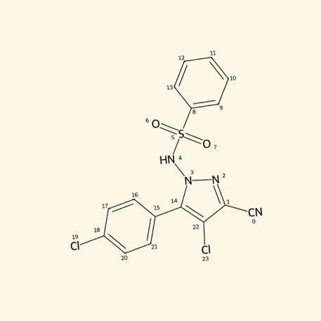 N#Cc1nn(NS(=O)(=O)c2ccccc2)c(-c2ccc(Cl)cc2)c1Cl